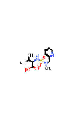 CC(C)C(NS(=O)(=O)N(C)Cc1ccccn1)C(=O)O